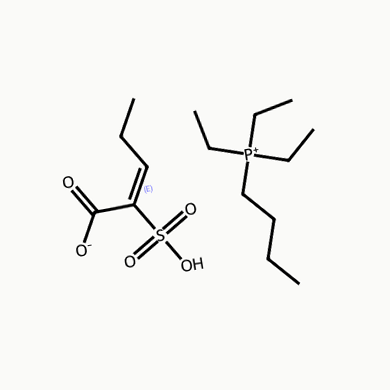 CC/C=C(\C(=O)[O-])S(=O)(=O)O.CCCC[P+](CC)(CC)CC